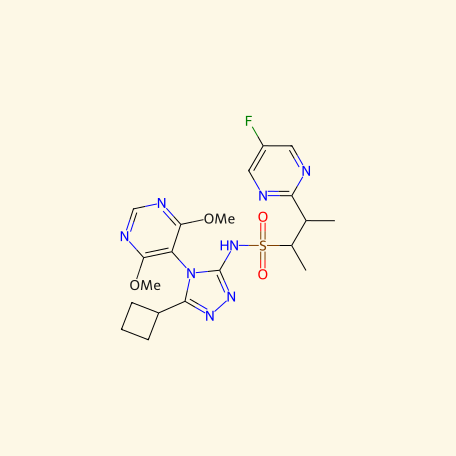 COc1ncnc(OC)c1-n1c(NS(=O)(=O)C(C)C(C)c2ncc(F)cn2)nnc1C1CCC1